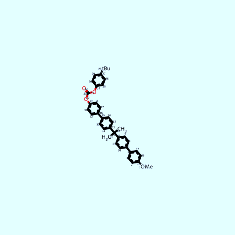 COc1ccc(-c2ccc(C(C)(C)c3ccc(-c4ccc(OC(=O)Oc5ccc(C(C)(C)C)cc5)cc4)cc3)cc2)cc1